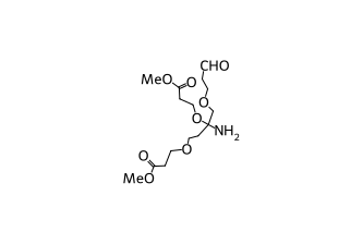 COC(=O)CCOCCC(N)(COCCC=O)OCCC(=O)OC